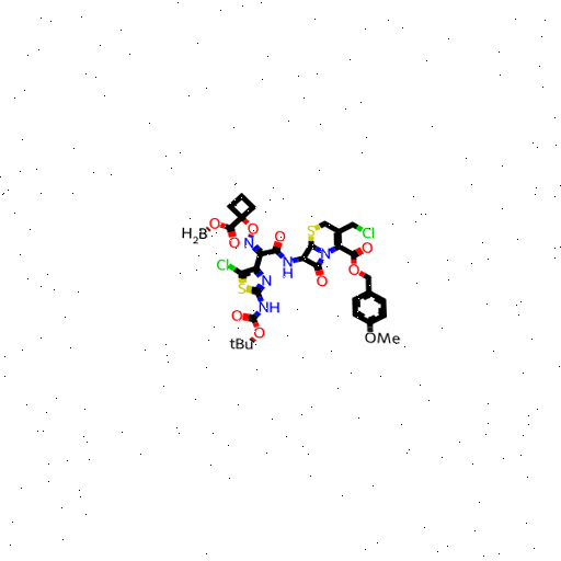 BOC(=O)C1(O/N=C(\C(=O)NC2C(=O)N3C(C(=O)OCc4ccc(OC)cc4)=C(CCl)CSC23)c2nc(NC(=O)OC(C)(C)C)sc2Cl)CCC1